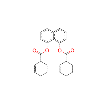 O=C(Oc1cccc2cccc(OC(=O)C3C=CCCC3)c12)C1C=CCCC1